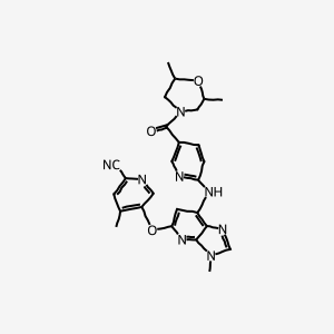 Cc1cc(C#N)ncc1Oc1cc(Nc2ccc(C(=O)N3CC(C)OC(C)C3)cn2)c2ncn(C)c2n1